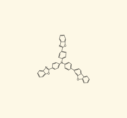 c1ccc2oc(-c3ccc(N(c4ccc(-c5ccc6c(c5)oc5ccccc56)cc4)c4ccc(-c5nc6ccccc6o5)cc4)cc3)nc2c1